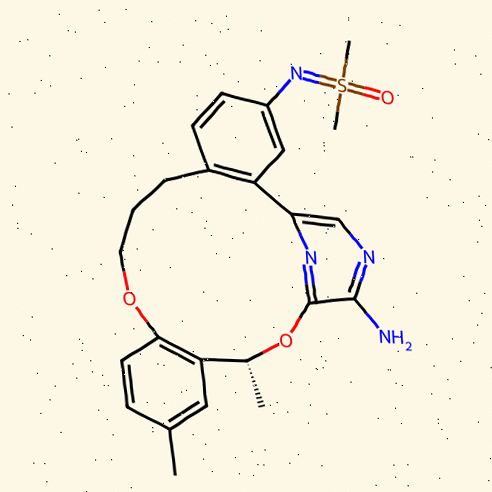 Cc1ccc2c(c1)[C@@H](C)Oc1nc(cnc1N)-c1cc(N=S(C)(C)=O)ccc1CCCO2